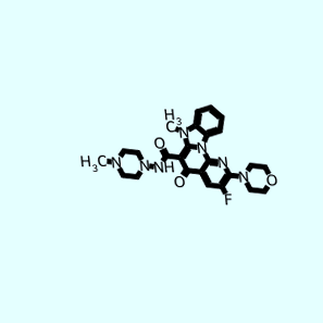 CN1CCN(NC(=O)c2c(=O)c3cc(F)c(N4CCOCC4)nc3n3c4ccccc4n(C)c23)CC1